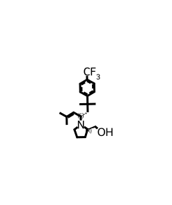 CC(C)=C[C@H](CC(C)(C)c1ccc(C(F)(F)F)cc1)N1CCC[C@@H]1CO